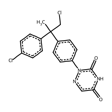 CC(CCl)(c1ccc(Cl)cc1)c1ccc(-n2ncc(=O)[nH]c2=O)cc1